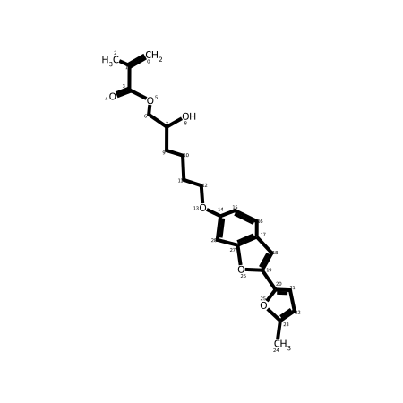 C=C(C)C(=O)OCC(O)CCCCOc1ccc2cc(-c3ccc(C)o3)oc2c1